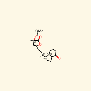 COCO[C@@]1(C)C=C(CC[C@@H](C)[C@H]2CCC3C(=O)CCC[C@@]32C)OC1=O